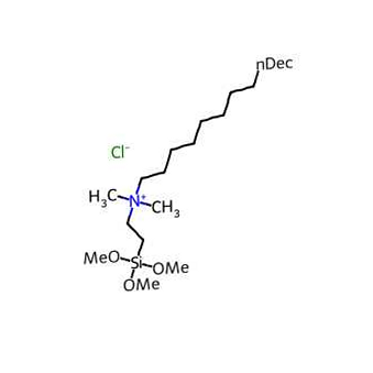 CCCCCCCCCCCCCCCCCC[N+](C)(C)CC[Si](OC)(OC)OC.[Cl-]